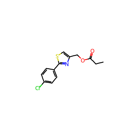 CCC(=O)OCc1csc(-c2ccc(Cl)cc2)n1